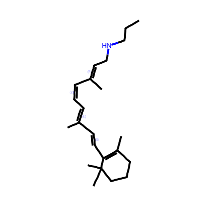 CCCNC/C=C(C)/C=C\C=C(C)\C=C\C1=C(C)CCCC1(C)C